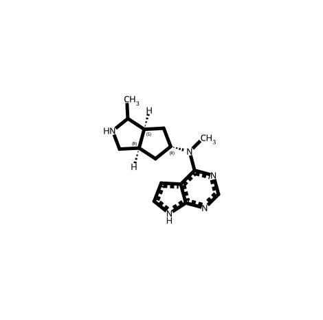 CC1NC[C@@H]2C[C@@H](N(C)c3ncnc4[nH]ccc34)C[C@H]12